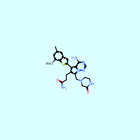 COc1cc(C)cc2cc(-c3c(CCC(N)=O)c(CN4CCNC(=O)C4)n4ncnc(N)c34)sc12